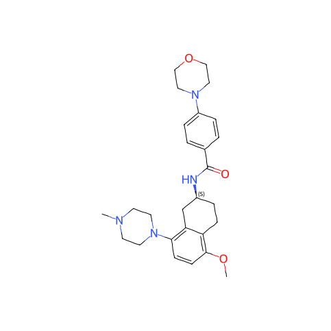 COc1ccc(N2CCN(C)CC2)c2c1CC[C@H](NC(=O)c1ccc(N3CCOCC3)cc1)C2